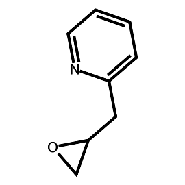 c1ccc(CC2CO2)nc1